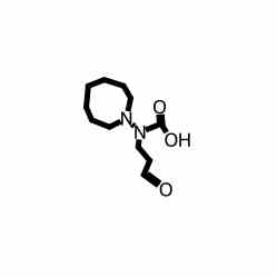 O=CCCN(C(=O)O)N1CCCCCCC1